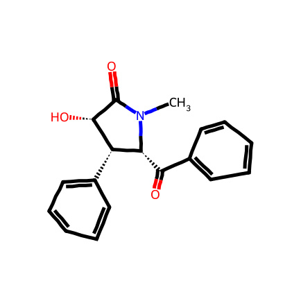 CN1C(=O)[C@@H](O)[C@@H](c2ccccc2)[C@H]1C(=O)c1ccccc1